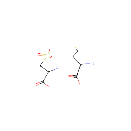 NC(CCS)C(=O)O.NC(CS(=O)(=O)O)C(=O)O